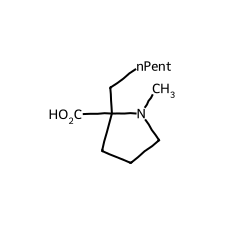 CCCCCCC1(C(=O)O)CCCN1C